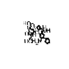 C[C@H]1C(S[C@@H]2CN[C@H](C(O)c3ccc(CN)c(-c4ccccc4)c3)C2)=C(OC(=O)O)N2C(=O)[C@@H](CCO)[C@@H]12